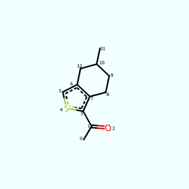 CC(=O)c1scc2c1CCC(C)C2